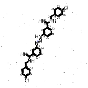 N=C(NCc1ccc(Cl)cc1)c1cccc(/N=N/Nc2cccc(C(=N)NCc3ccc(Cl)cc3)c2)c1